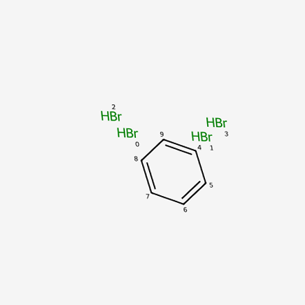 Br.Br.Br.Br.c1ccccc1